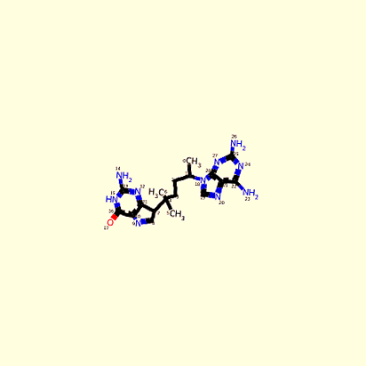 CC(CCC(C)(C)C1C=Nc2c1nc(N)[nH]c2=O)n1cnc2c(N)nc(N)nc21